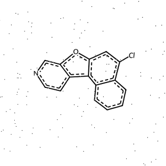 Clc1cc2oc3cnccc3c2c2ccccc12